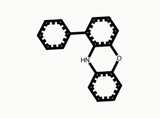 [c]1ccc2c(c1)Oc1c[c]cc(-c3ccccc3)c1N2